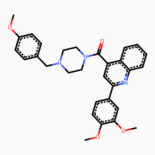 COc1ccc(CN2CCN(C(=O)c3cc(-c4ccc(OC)c(OC)c4)nc4ccccc34)CC2)cc1